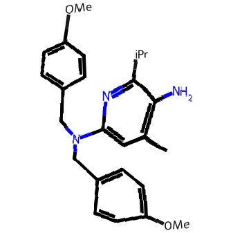 COc1ccc(CN(Cc2ccc(OC)cc2)c2cc(C)c(N)c(C(C)C)n2)cc1